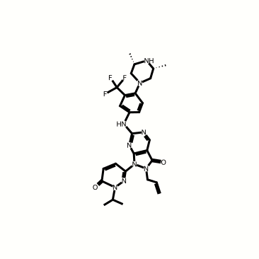 C=CCn1c(=O)c2cnc(Nc3ccc(N4C[C@@H](C)N[C@@H](C)C4)c(C(F)(F)F)c3)nc2n1-c1ccc(=O)n(C(C)C)n1